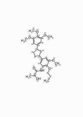 CCCOc1c(NC(=O)N(C)O)cc(C2CCC(c3cc(OC)c(OC)c(OC)c3)S2)cc1OC